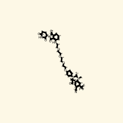 CN(C(=S)N(c1ccc(OCCOCCOCCOCCNc2cccc3c2C(=O)N([C@H]2CCC(=O)NC2=O)C3=O)cc1)C(C)(C)C=O)c1ccc(C#N)c(C(F)(F)F)c1